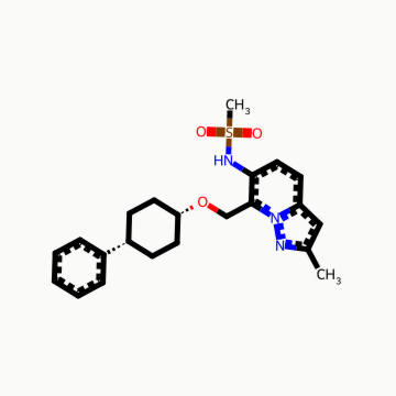 Cc1cc2ccc(NS(C)(=O)=O)c(CO[C@H]3CC[C@@H](c4ccccc4)CC3)n2n1